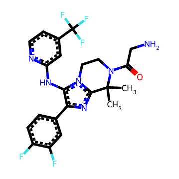 CC1(C)c2nc(-c3ccc(F)c(F)c3)c(Nc3cc(C(F)(F)F)ccn3)n2CCN1C(=O)CN